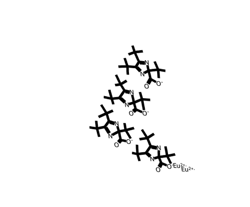 CC(C)(C)C1=NC(C(=O)[O-])(C(C)(C)C)N=C1C(C)(C)C.CC(C)(C)C1=NC(C(=O)[O-])(C(C)(C)C)N=C1C(C)(C)C.CC(C)(C)C1=NC(C(=O)[O-])(C(C)(C)C)N=C1C(C)(C)C.CC(C)(C)C1=NC(C(=O)[O-])(C(C)(C)C)N=C1C(C)(C)C.[Eu+2].[Eu+2]